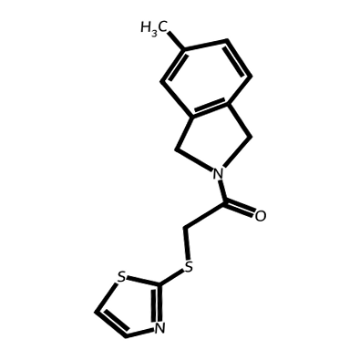 Cc1ccc2c(c1)CN(C(=O)CSc1nccs1)C2